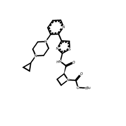 CC(C)(C)OC(=O)N1CC[C@H]1C(=O)Nc1nc(-c2ncccc2N2CCN(C3CC3)CC2)cs1